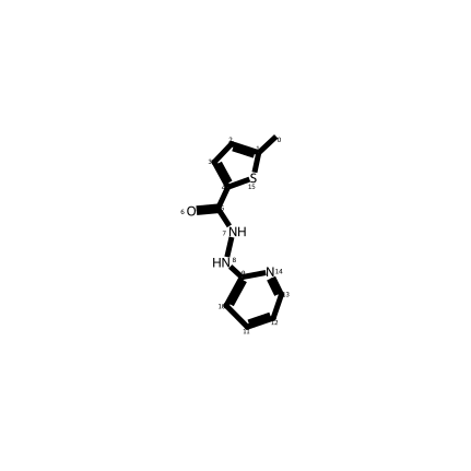 Cc1ccc(C(=O)NNc2ccccn2)s1